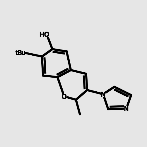 CC1Oc2cc(C(C)(C)C)c(O)cc2C=C1n1ccnc1